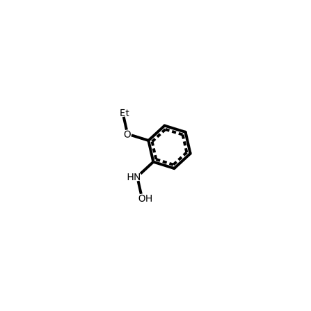 CCOc1ccccc1NO